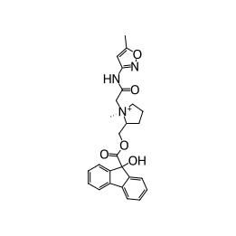 Cc1cc(NC(=O)C[N@@+]2(C)CCCC2COC(=O)C2(O)c3ccccc3-c3ccccc32)no1